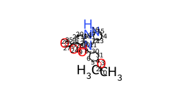 CC(C)OC1CCC(C(=O)N2Cc3cccnc3Nc3ccc(C4(O)COC4)cc32)CC1